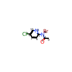 CC(=O)N(Br)c1ccc(Cl)cn1